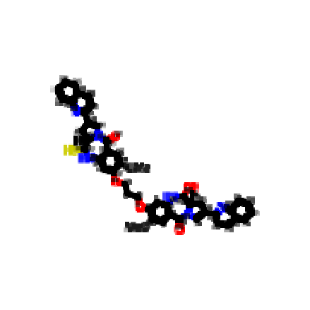 COc1cc2c(cc1OCCCOc1cc3c(cc1OC)C(=O)N1C=C(c4ccc5ccccc5n4)C[C@H]1C(S)N3)NC(O)[C@@H]1CC(c3ccc4ccccc4n3)=CN1C2=O